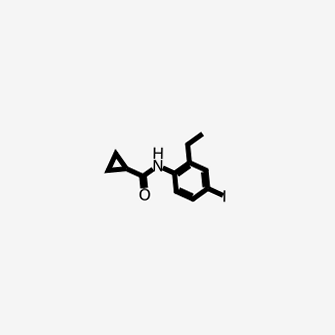 CCc1cc(I)ccc1NC(=O)C1CC1